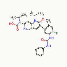 C=C(C)N(C(=O)O)c1cc2c(cn1)cc(-c1cc(NC(=O)Nc3ccccc3)c(F)cc1C)c(=O)n2C(C)C